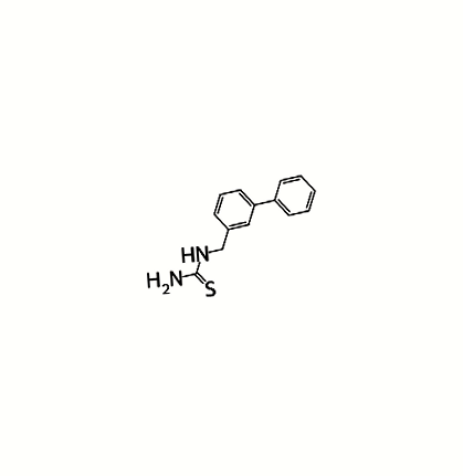 NC(=S)NCc1cccc(-c2ccccc2)c1